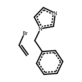 C=CBr.c1ccc(Cn2ccnc2)cc1